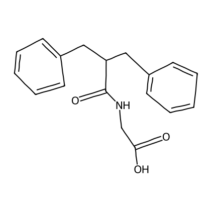 O=C(O)CNC(=O)C(Cc1ccccc1)Cc1ccccc1